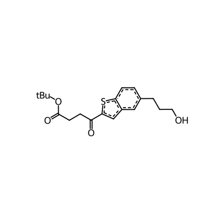 CC(C)(C)OC(=O)CCC(=O)c1cc2cc(CCCO)ccc2s1